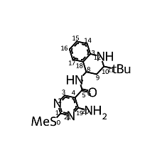 CSc1ncc(C(=O)NC2CC(C(C)(C)C)Nc3ccccc32)c(N)n1